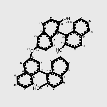 Oc1ccc2ccccc2c1-c1cc(Oc2ccc3c(-c4c(O)ccc5ccccc45)c(O)ccc3c2)cc2ccccc12